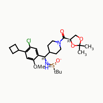 COc1cc(C2CCC2)c(Cl)cc1[C@H](N[S@@+]([O-])C(C)(C)C)C1CCN(C(=O)[C@H]2COC(C)(C)O2)CC1